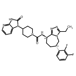 CCc1nnc2n1C[C@H](c1cccc(F)c1F)CC[C@H]2NC(=O)N1CCC(n2c(=O)[nH]c3ncccc32)CC1